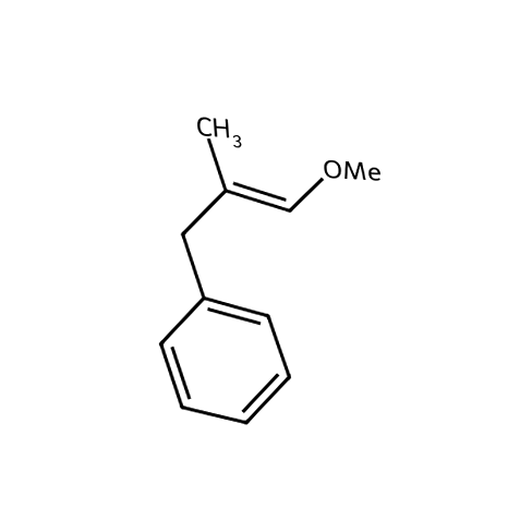 COC=C(C)Cc1ccccc1